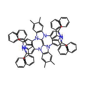 Cc1cc2c(cc1C)N(c1cc(-c3ccccc3)nc(-c3ccccc3)c1)C(=C1N(c3cc(-c4ccccc4)nc(-c4ccccc4)c3)c3cc(C)c(C)cc3N1c1cc(-c3ccccc3)nc(-c3ccccc3)c1)N2c1cc(-c2ccccc2)nc(-c2ccccc2)c1